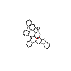 c1ccc(-c2cccc(N(c3ccccc3-c3ccc4oc5ccccc5c4c3)c3cccc4oc5ccccc5c34)c2)cc1